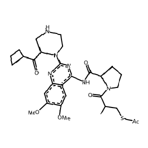 COc1cc2nc(N3CCNCC3C(=O)C3CCC3)nc(NC(=O)C3CCCN3C(=O)C(C)CSC(C)=O)c2cc1OC